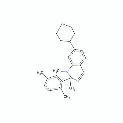 Cc1ccc(C)c(C2(C)C=Cc3ccc(C4CCCCC4)cc3N2C)c1